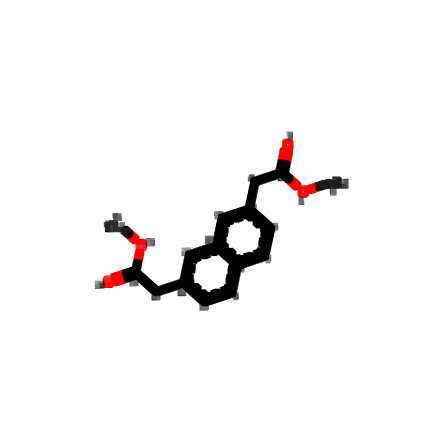 CCCCOC(=O)Cc1ccc2ccc(CC(=O)OC(C)(C)C)cc2c1